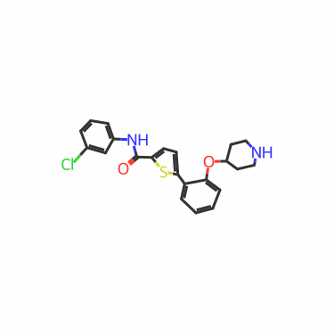 O=C(Nc1cccc(Cl)c1)c1ccc(-c2ccccc2OC2CCNCC2)s1